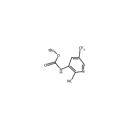 CC(C)(C)OC(=O)Nc1cc(C(F)(F)F)cnc1C#N